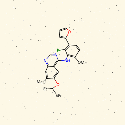 CCCC(CC)Oc1cc2c(Nc3c(OC)ccc(-c4ccco4)c3F)ncnc2cc1OC